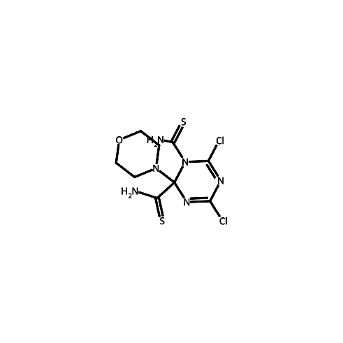 NC(=S)N1C(Cl)=NC(Cl)=NC1(C(N)=S)N1CCOCC1